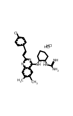 Cc1cc2nc(C=Cc3ccc(Cl)cc3)nc(N[C@H]3CCCC[C@H]3NC(=N)N)c2cc1C.Cl.Cl